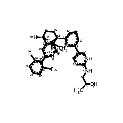 C[C@H](O)CNc1ncc(-c2cccc([C@]34CC[C@H](CC3(C)C)c3cc(-c5c(F)cccc5F)nnc34)n2)cn1